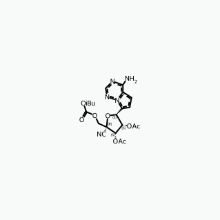 CC(=O)O[C@H]1[C@H](c2ccc3c(N)ncnn23)O[C@](C#N)(COC(=O)OCC(C)C)[C@H]1OC(C)=O